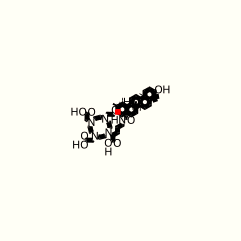 C[C@H]1[C@H](C)CC[C@]2(C(=O)NCCCC(C(=O)O)N3CCN(CC=O)CCN(CC(=O)O)CCN(CC(=O)O)CC3)CC[C@]3(C)C(=CCC4[C@@]5(C)CC[C@H](O)C(C)(C)C5CC[C@]43C)[C@H]12